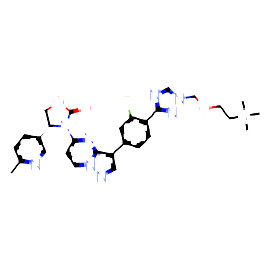 Cc1ccc([C@H]2COC(=O)N2c2ccn3ncc(-c4ccc(-c5ncn(COCC[Si](C)(C)C)n5)c(F)c4)c3n2)cn1